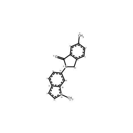 Cc1ccc2c(c1)C(=O)N(c1ccc3ccn(C)c3c1)C2